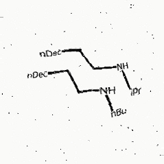 CCCCCCCCCCCCNC(C)C.CCCCCCCCCCCCNCCCC